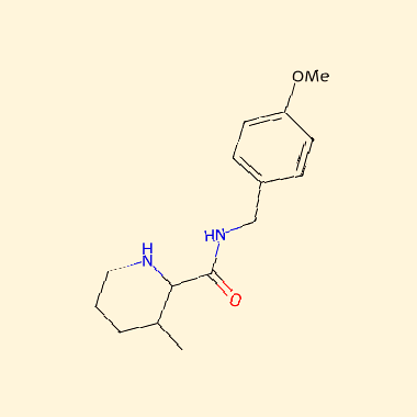 COc1ccc(CNC(=O)C2NCCCC2C)cc1